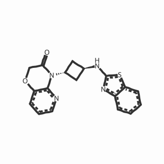 O=C1COc2cccnc2N1[C@H]1C[C@H](Nc2nc3ccccc3s2)C1